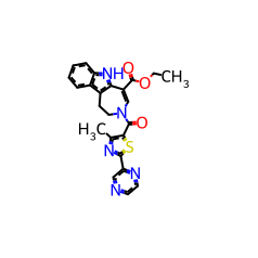 CCOC(=O)C1=CN(C(=O)c2sc(-c3cnccn3)nc2C)CCc2c1[nH]c1ccccc21